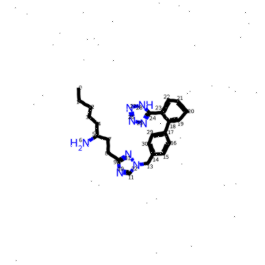 CCCCCC(N)CCc1ncn(Cc2ccc(-c3ccccc3-c3nnn[nH]3)cc2)n1